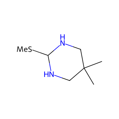 CSC1NCC(C)(C)CN1